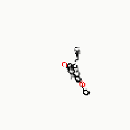 C[C@]12CC[C@@H]3c4ccc(OCc5ccccc5)cc4CC[C@H]3[C@@H]1C(CCCC#C[Si](C)(C)C)CC2=O